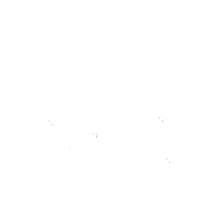 Nc1ccc(N(Cl)c2ccc(Cl)cc2[N+](=O)[O-])cc1N